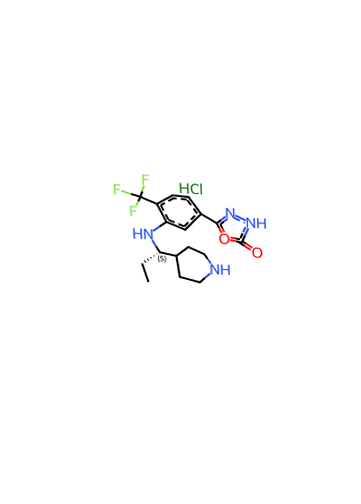 CC[C@H](Nc1cc(-c2n[nH]c(=O)o2)ccc1C(F)(F)F)C1CCNCC1.Cl